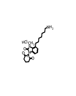 Cl.Cn1c(=O)n(N2C(=O)CCCC2=O)c2cccc(CCCCCCCN)c21